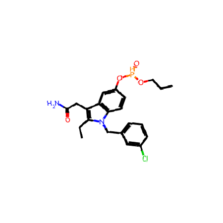 CCCO[PH](=O)Oc1ccc2c(c1)c(CC(N)=O)c(CC)n2Cc1cccc(Cl)c1